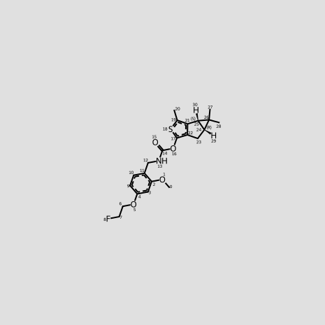 COc1cc(OCCF)ccc1CNC(=O)Oc1sc(C)c2c1C[C@@H]1[C@H]2C1(C)C